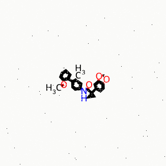 COc1ccccc1-c1ccc(NC(=O)C2(c3ccc4c(c3)OCO4)CC2)cc1C